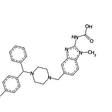 Cn1c(NC(=O)O)nc2cc(CN3CCN(C(c4ccccc4)c4ccc(F)cc4)CC3)ccc21